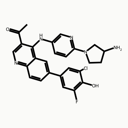 CC(=O)c1cnc2ccc(-c3cc(F)c(O)c(Cl)c3)cc2c1Nc1ccc(N2CCC(N)C2)nc1